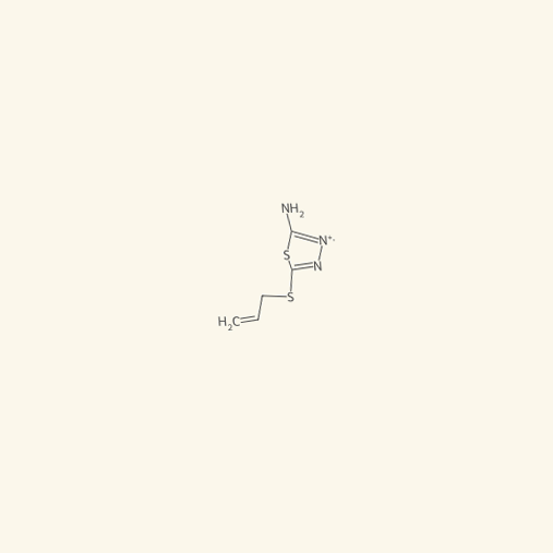 C=CCSC1=N[N+]=C(N)S1